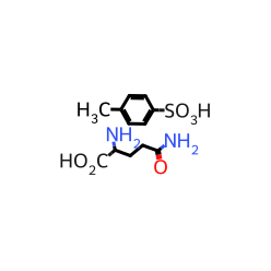 Cc1ccc(S(=O)(=O)O)cc1.NC(=O)CCC(N)C(=O)O